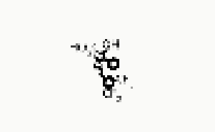 O=C(O)N1CC(OCCc2cc(C(F)(F)F)cc(C(F)(F)F)c2)C(c2ccccc2)C1CO